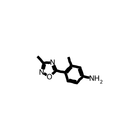 Cc1noc(-c2ccc(N)cc2C)n1